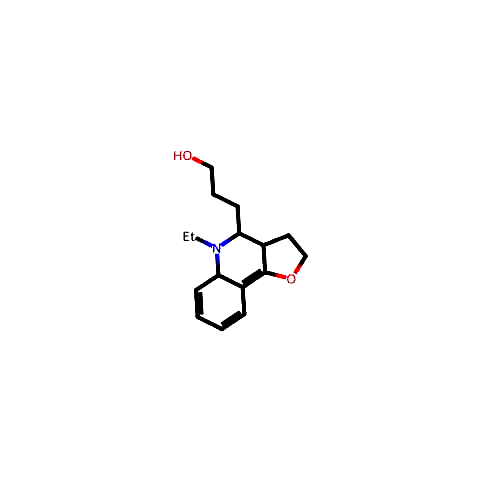 CCN1C2C=CC=CC2=C2OCCC2C1CCCO